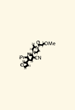 COCCC(=O)N1CCN(c2nc(C(C)C)c(-c3ccoc3)cc2C#N)CC1C